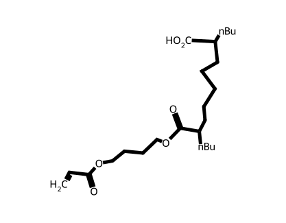 C=CC(=O)OCCCCOC(=O)C(CCCC)CCCCCC(CCCC)C(=O)O